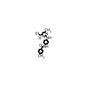 CCNc1cc(C)nc(Nc2ccc(NC(=O)c3ccc(C)cc3)cc2)n1